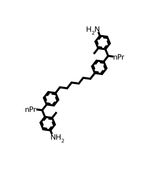 CCCC(c1ccc(CCCCCCc2ccc(C(CCC)c3ccc(N)cc3C)cc2)cc1)c1ccc(N)cc1C